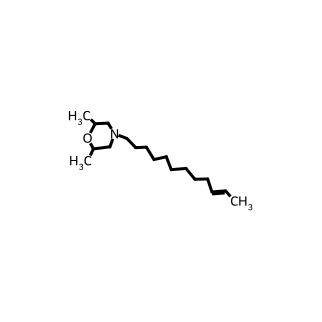 CC=CCCCCCCCCCN1CC(C)OC(C)C1